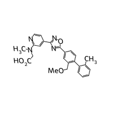 COCc1cc(-c2nc(-c3ccnc(N(C)CC(=O)O)c3)no2)ccc1-c1ccccc1C